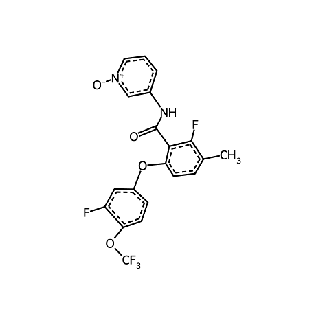 Cc1ccc(Oc2ccc(OC(F)(F)F)c(F)c2)c(C(=O)Nc2ccc[n+]([O-])c2)c1F